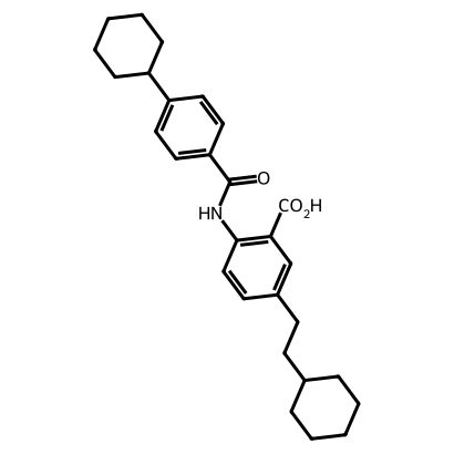 O=C(Nc1ccc(CCC2CCCCC2)cc1C(=O)O)c1ccc(C2CCCCC2)cc1